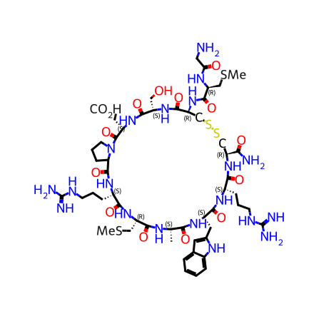 CSC[C@H](NC(=O)CN)C(=O)N[C@H]1CSSC[C@@H](C(N)=O)NC(=O)[C@H](CCCNC(=N)N)NC(=O)[C@H](Cc2cc3ccccc3[nH]2)NC(=O)[C@H](C)NC(=O)[C@H](CSC)NC(=O)[C@H](CCCNC(=N)N)NC(=O)C2CCCN2C(=O)[C@H](CC(=O)O)NC(=O)[C@H](CO)NC1=O